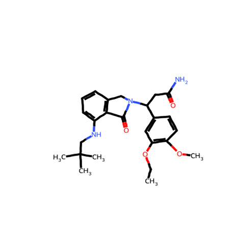 CCOc1cc(C(CC(N)=O)N2Cc3cccc(NCC(C)(C)C)c3C2=O)ccc1OC